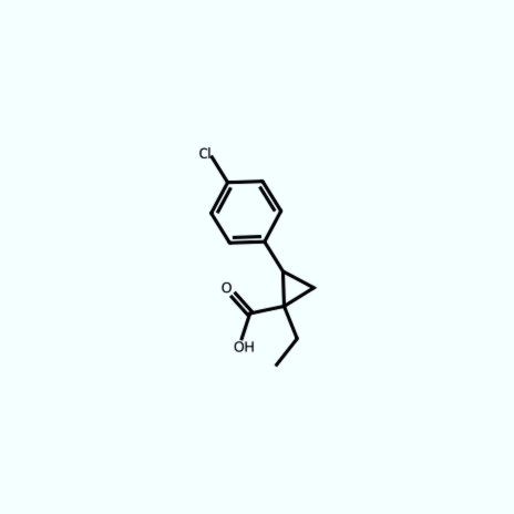 CCC1(C(=O)O)CC1c1ccc(Cl)cc1